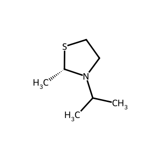 CC(C)N1CCS[C@H]1C